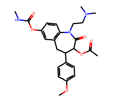 CNC(=O)Oc1ccc2c(c1)CC(c1ccc(OC)cc1)C(OC(C)=O)C(=O)N2CCN(C)C